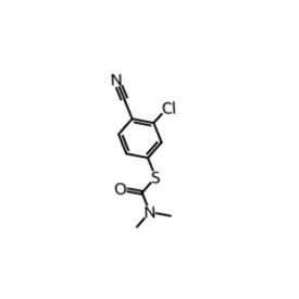 CN(C)C(=O)Sc1ccc(C#N)c(Cl)c1